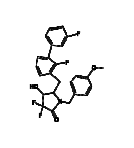 COc1ccc(CN2C(=O)C(F)(F)C(O)C2Cc2cccc(-c3cccc(F)c3)c2F)cc1